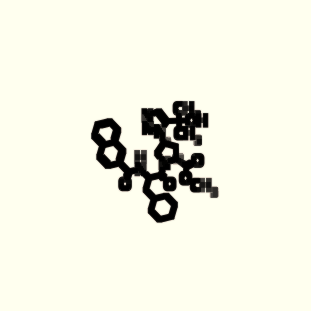 COC(=O)[C@@H]1C[C@H](n2nncc2C(C)(C)O)CN1C(=O)C(CC1CCCCC1)NC(=O)c1ccc2ccccc2c1